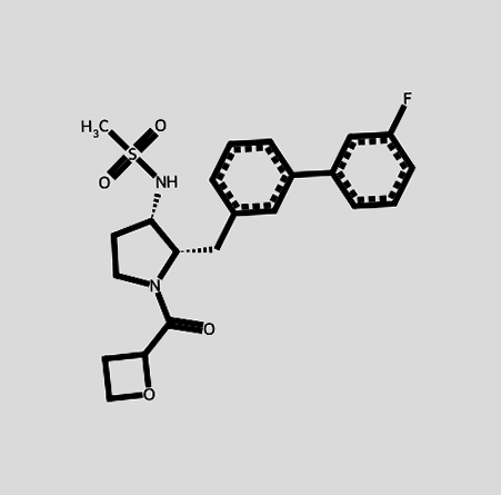 CS(=O)(=O)N[C@H]1CCN(C(=O)C2CCO2)[C@H]1Cc1cccc(-c2cccc(F)c2)c1